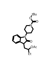 CCC(CC1C(=O)N(C2CCN(C(=O)OC(C)(C)C)CC2)c2ccccc21)OC(C)=O